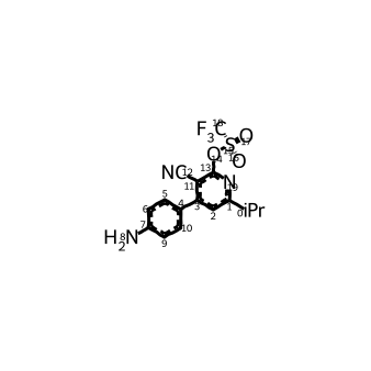 CC(C)c1cc(-c2ccc(N)cc2)c(C#N)c(OS(=O)(=O)C(F)(F)F)n1